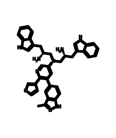 Cc1n[nH]c2ccc(-c3cc(N(C[C@H](N)Cc4c[nH]c5ccccc45)C[C@H](N)Cc4c[nH]c5ccccc45)cnc3-c3ccoc3)cc12